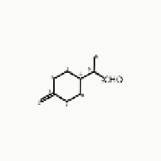 C=C1CCC(C(C)C=O)CC1